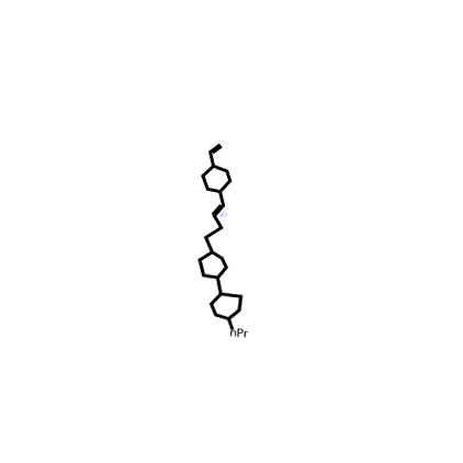 C=CC1CCC(/C=C/CCC2CCC(C3CCC(CCC)CC3)CC2)CC1